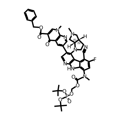 CN1C[C@@H]2CCN(c3c(-c4cnc5c(c4)c(=O)c(C(=O)OCc4ccccc4)cn5C)cnc4[nH]c5c(N(C)C(=O)OCOP(=O)(OC(C)(C)C)OC(C)(C)C)cc(F)c(C#N)c5c34)[C@@H]2C1